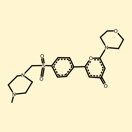 CN1CCN(CS(=O)(=O)c2ccc(-c3cc(=O)cc(N4CCOCC4)o3)cc2)CC1